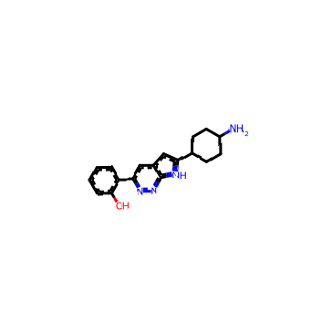 NC1CCC(c2cc3cc(-c4ccccc4O)nnc3[nH]2)CC1